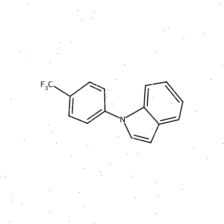 FC(F)(F)c1ccc(-n2ccc3ccccc32)cc1